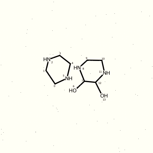 C1CNCCN1.OC1NCCNC1O